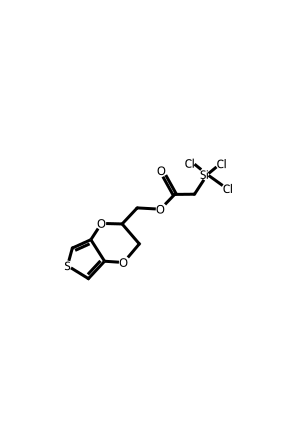 O=C(C[Si](Cl)(Cl)Cl)OCC1COc2cscc2O1